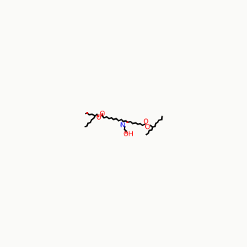 CCCCCCC(CCCC)COC(=O)CCCCCCCCC(CCCCCCCCC(=O)OCC(CCCC)CCCCCC)N(C)CCCO